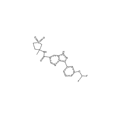 CC1(NC(=O)c2cnc3c(-c4cccc(OC(F)F)c4)n[nH]c3c2)CCS(=O)(=O)C1